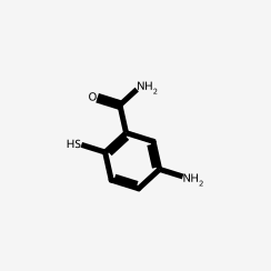 NC(=O)c1cc(N)ccc1S